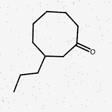 CCC[C]1CCCCCC(=O)C1